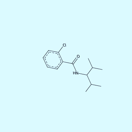 CC(C)C(NC(=O)c1ccccc1Cl)C(C)C